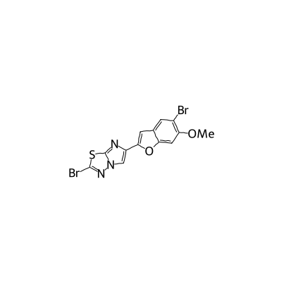 COc1cc2oc(-c3cn4nc(Br)sc4n3)cc2cc1Br